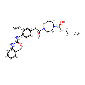 COc1cc(CC(=O)N2CCCN(C(=O)CCCC(=O)O)CC2)ccc1NC(=O)Nc1ccccc1C